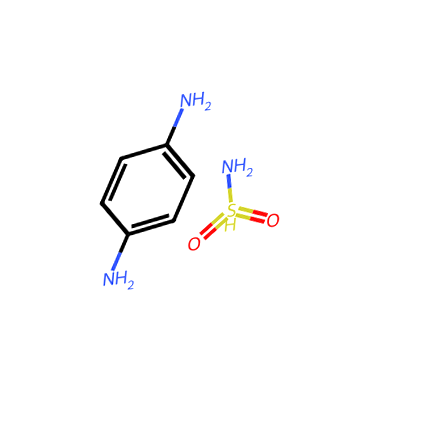 N[SH](=O)=O.Nc1ccc(N)cc1